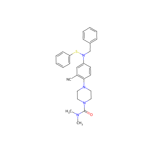 CN(C)C(=O)N1CCN(c2ccc(N(Cc3ccccc3)Sc3ccccc3)cc2C#N)CC1